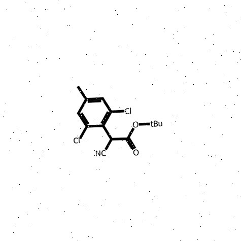 Cc1cc(Cl)c(C(C#N)C(=O)OC(C)(C)C)c(Cl)c1